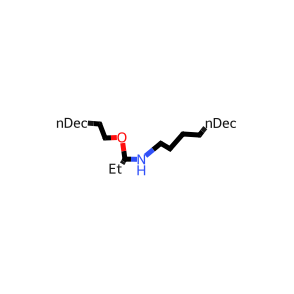 CCCCCCCCCCCCCCNC(CC)OCCCCCCCCCCCC